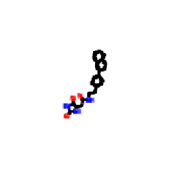 O=C(CC1NC(=O)NC1=O)NCCc1ccc(-c2ccc3ccccc3c2)cc1